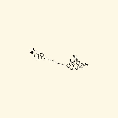 CCOc1cc([C@@H](CS(C)(=O)=O)N2C(=O)c3cc(CCCCCCCCCCCCNc4cccc(NC5CCC(=O)NC5=O)c4)cc(NC(C)=O)c3C2=O)ccc1OC